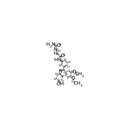 CCOc1cc2c(cc1OC)C(c1cccc(NC(=O)CCNC(N)=O)c1)=NC1CCC(O)CC21